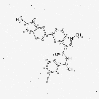 CC(NC(=O)c1cn(C)c2ccc(-c3ccn4nc(N)nc4c3)cc12)c1cccc(F)c1